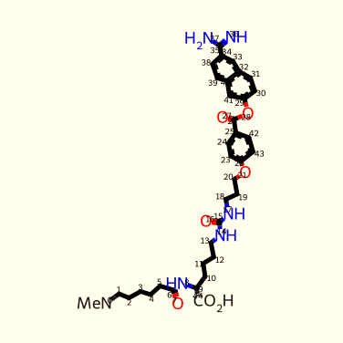 CNCCCCCC(=O)NC(CCCCNC(=O)NCCCOc1ccc(C(=O)Oc2ccc3cc(C(=N)N)ccc3c2)cc1)C(=O)O